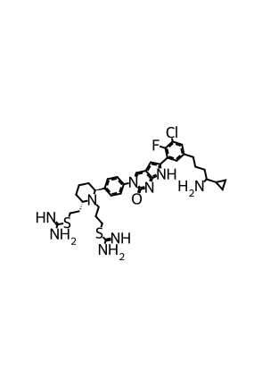 N=C(N)SCCCN1[C@H](CCSC(=N)N)CCC[C@H]1c1ccc(-n2cc3cc(-c4cc(CCCC(N)C5CC5)cc(Cl)c4F)[nH]c3nc2=O)cc1